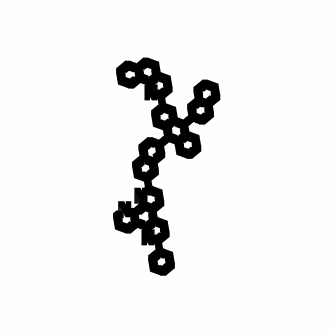 c1ccc(-c2ccc3c4ccc(-c5ccc6ccc(-c7c8ccccc8c(-c8ccc9ccccc9c8)c8cc(-c9ccc%10ccc%11ccccc%11c%10n9)ccc78)cc6c5)nc4c4ncccc4c3n2)cc1